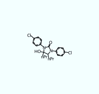 CCCC1N(c2ccc(Cl)cc2)C(=O)N(c2ccc(Cl)cc2)C1(O)CCC